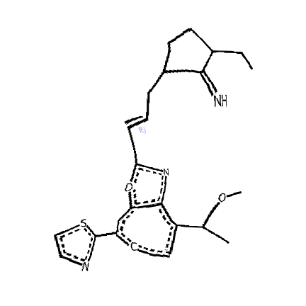 CCC1CCC(C/C=C/c2nc3c(C(C)OC)ccc(-c4nccs4)c3o2)C1=N